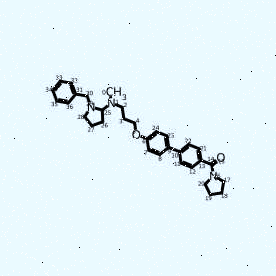 CN(CCCOc1ccc(-c2ccc(C(=O)N3CCCC3)cc2)cc1)C1CCCN1Cc1ccccc1